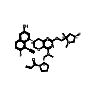 C#Cc1c(F)ccc2cc(O)cc([C@H]3COc4c(nc(OC[C@]5(C)C[C@@H](F)CN5C)nc4N(C)C[C@@H]4CCCN4C(=O)C=C)C3)c12